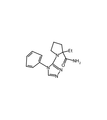 CCC1(C(N)=O)CCCN1c1nncn1-c1ccccc1